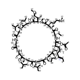 C/C=C/C[C@@H](C)[C@@H](OC(C)=O)[C@H]1C(=O)N[C@@H](CC)C(=O)N(C)[C@H](CCCNC)C(=O)N(C)[C@@H]([C@H](C)COC)C(=O)N[C@@H](C(C)C)C(=O)N(C)[C@@H](CC(C)C)C(=O)N[C@@H](C)C(=O)N[C@H](C)C(=O)N(C)[C@@H](CC(C)C)C(=O)N(C)[C@@H](CC(C)C)C(=O)N(C)[C@@H](C(C)C)C(=O)N1C